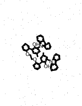 Cc1cc(-c2ccccc2OCCOc2ccccc2-c2cc(C)cc(-n3c4ccccc4c4ccccc43)c2O)c(O)c(-n2c3ccccc3c3ccccc32)c1